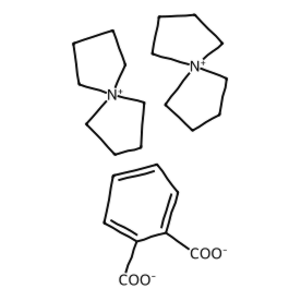 C1CC[N+]2(C1)CCCC2.C1CC[N+]2(C1)CCCC2.O=C([O-])c1ccccc1C(=O)[O-]